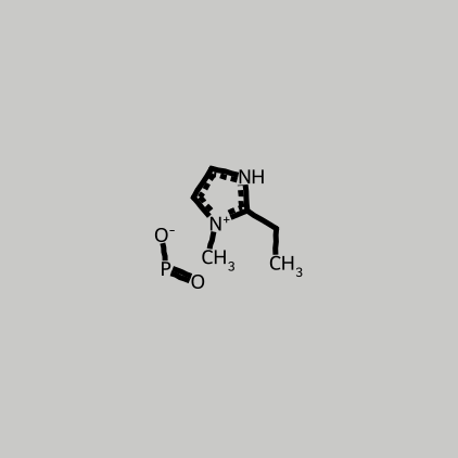 CCc1[nH]cc[n+]1C.O=P[O-]